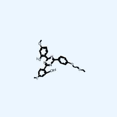 CCOCCOc1ccc(-c2nc(-c3ccc(OC)cc3O)nc(-c3ccc(OC)cc3O)n2)cc1